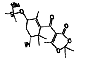 CC1=C(C(=O)C2=C(C)C(O[Si](C)(C)C(C)(C)C)C[C@@H](C(C)C)C2(C)C)C(=O)OC(C)(C)O1